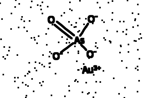 O=[As]([O-])([O-])[O-].[Au+3]